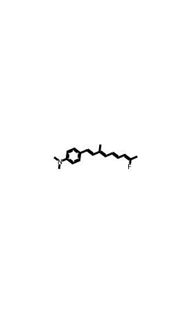 C/C(F)=C/C=C/C=C(C)/C=C/c1ccc(N(C)C)cc1